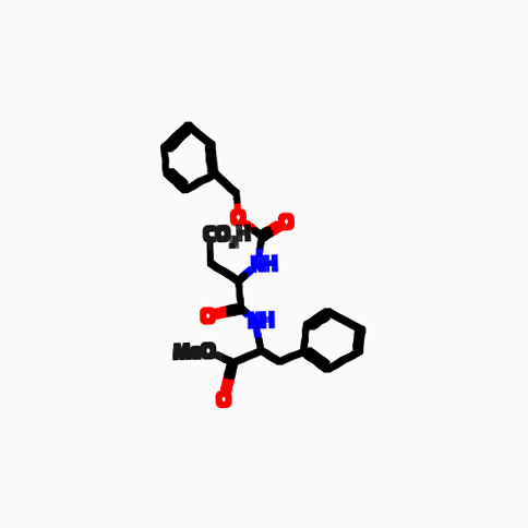 COC(=O)C(Cc1ccccc1)NC(=O)C(CC(=O)O)NC(=O)OCc1ccccc1